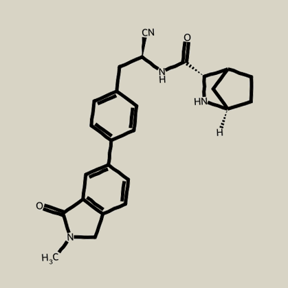 CN1Cc2ccc(-c3ccc(C[C@@H](C#N)NC(=O)[C@H]4N[C@@H]5CCC4C5)cc3)cc2C1=O